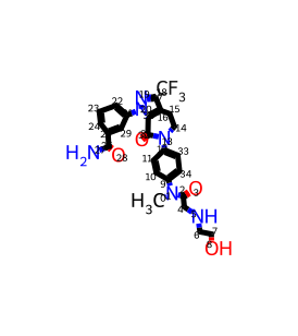 CN(C(=O)CNCCO)c1ccc(N2CCc3c(C(F)(F)F)nn(-c4cccc(C(N)=O)c4)c3C2=O)cc1